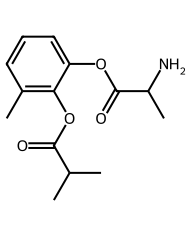 Cc1cccc(OC(=O)C(C)N)c1OC(=O)C(C)C